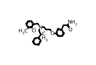 Cc1cccc(CN(CCCOc2cccc(CC(N)=O)c2)C[C@@H](C)c2ccccc2)c1Cl